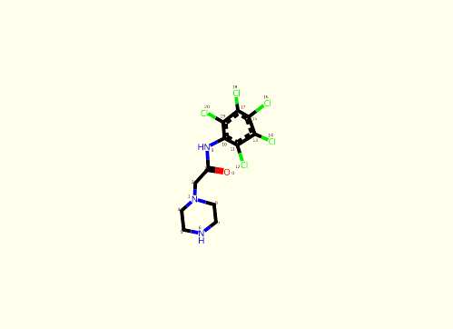 O=C(CN1CCNCC1)Nc1c(Cl)c(Cl)c(Cl)c(Cl)c1Cl